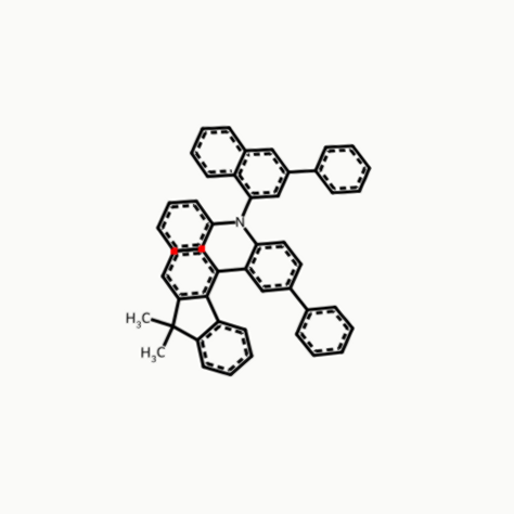 CC1(C)c2ccccc2-c2c(-c3cc(-c4ccccc4)ccc3N(c3ccccc3)c3cc(-c4ccccc4)cc4ccccc34)cccc21